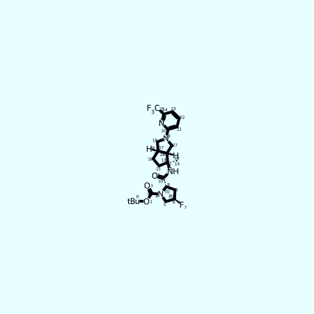 CC(C)(C)OC(=O)N1C[C@H](F)C[C@H]1C(=O)N[C@@]1(C)CC[C@@H]2CN(c3cccc(C(F)(F)F)n3)C[C@@H]21